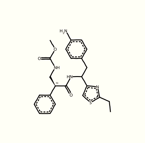 CCc1nc(C(Cc2ccc(N)cc2)NC(=O)[C@H](CNC(=O)OC)c2ccccc2)cs1